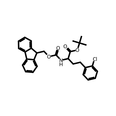 CC(C)(C)OC(=O)C(CCc1ccccc1Cl)NC(=O)OCC1c2ccccc2-c2ccccc21